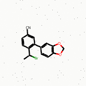 CC(Br)c1ccc(C#N)cc1-c1ccc2c(c1)OCO2